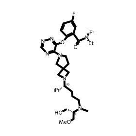 CCN(C(=O)c1cc(F)ccc1Oc1nncnc1N1CCC2(C1)CN([C@H](CCCN(C)[C@@H](CO)COC)C(C)C)C2)C(C)C